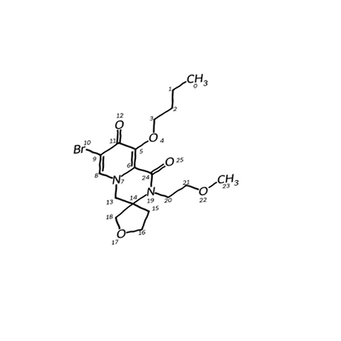 CCCCOc1c2n(cc(Br)c1=O)CC1(CCOC1)N(CCOC)C2=O